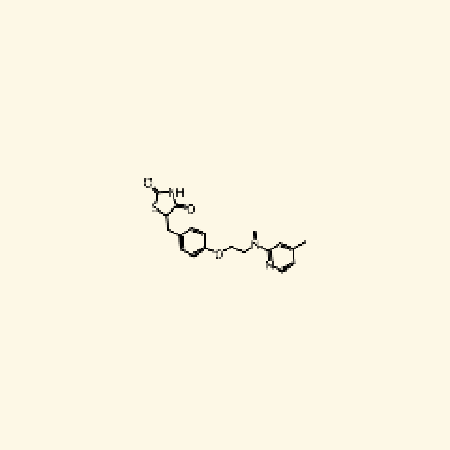 Cc1ccnc(N(C)CCOc2ccc(CC3SC(=O)NC3=O)cc2)c1